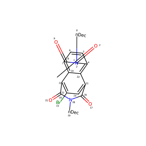 CCCCCCCCCCn1c(=O)c2ccc(c1=O)c1c3c(Br)cc(c(=O)n(CCCCCCCCCC)c3=O)c21